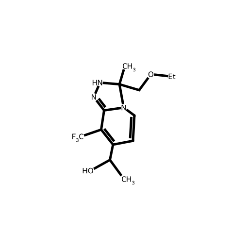 CCOCC1(C)NN=C2C(C(F)(F)F)=C(C(C)O)C=CN21